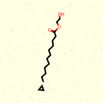 C1CC1.CCCCCCCCCCCC(=O)OCCO